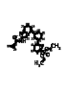 CCOP(=O)(OCC)c1cccc(-c2cccc(-c3cccc4nc(NC(=O)C5CC5)cn34)c2)n1